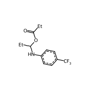 CCC(=O)OC(CC)Nc1ccc(C(F)(F)F)cc1